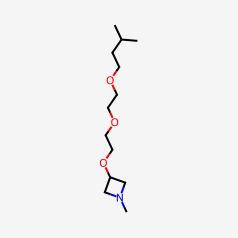 CC(C)CCOCCOCCOC1CN(C)C1